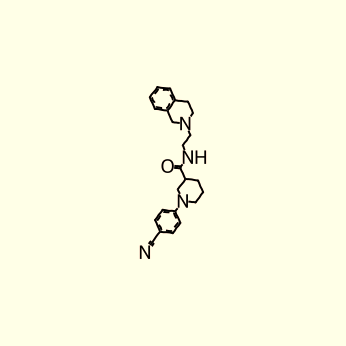 N#Cc1ccc(N2CCCC(C(=O)NCCN3CCc4ccccc4C3)C2)cc1